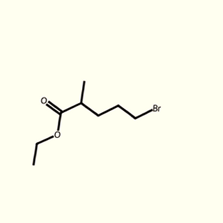 CCOC(=O)C(C)CCCBr